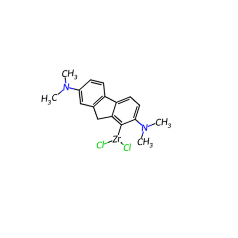 CN(C)c1ccc2c(c1)Cc1c-2ccc(N(C)C)[c]1[Zr]([Cl])[Cl]